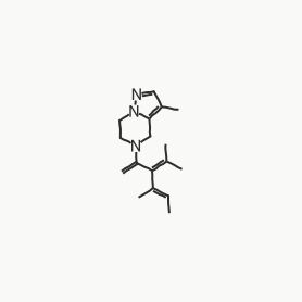 C=C(C(=C(C)C)/C(C)=C/C)N1CCn2ncc(C)c2C1